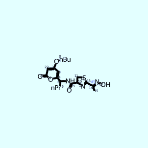 CCCCOc1cc(C(CCC)NC(=O)C2CSC(/C(C)=N/O)=N2)oc(=O)c1